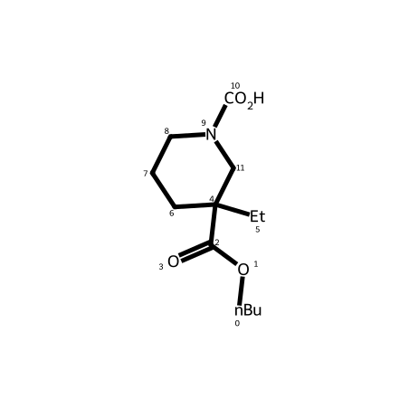 CCCCOC(=O)C1(CC)CCCN(C(=O)O)C1